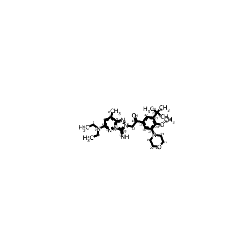 CCN(CC)c1cc(C)c2nn(CC(=O)c3cc(N4CCOCC4)c(OC)c(C(C)(C)C)c3)c(=N)n2n1